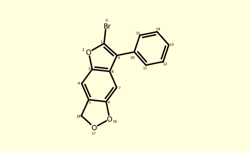 Brc1oc2cc3c(cc2c1-c1ccccc1)OOC3